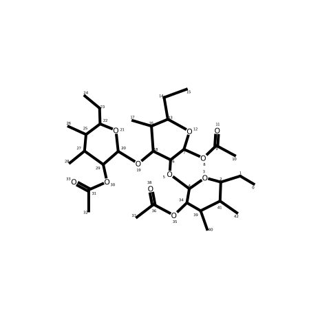 CCC1OC(OC2C(OC(C)=O)OC(CC)C(C)C2OC2OC(CC)C(C)C(C)C2OC(C)=O)C(OC(C)=O)C(C)C1C